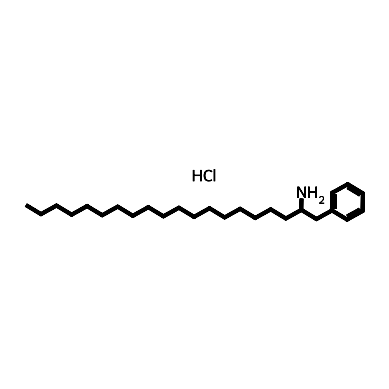 CCCCCCCCCCCCCCCCCCC(N)Cc1ccccc1.Cl